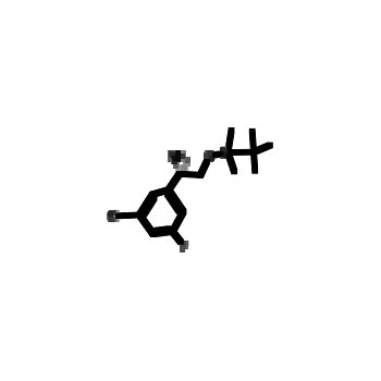 CC(C)(C)[Si](C)(C)OC[C@@H](N)c1cc(F)cc(Cl)c1